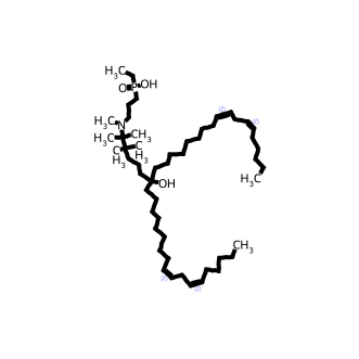 CCCCC/C=C\C/C=C\CCCCCCCCC(O)(CCCCCCCC/C=C\C/C=C\CCCCC)CCCC(C)(C)C(C)(C)N(C)CCCP(=O)(O)CC